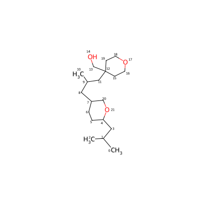 CC(C)CC1CCC(CC(C)CC2(CO)CCOCC2)CO1